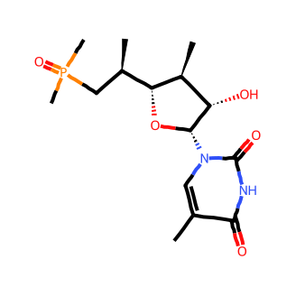 Cc1cn([C@@H]2O[C@H]([C@H](C)CP(C)(C)=O)[C@@H](C)[C@@H]2O)c(=O)[nH]c1=O